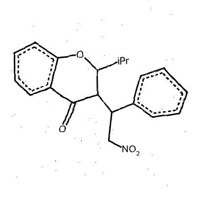 CC(C)C1Oc2ccccc2C(=O)C1C(C[N+](=O)[O-])c1ccccc1